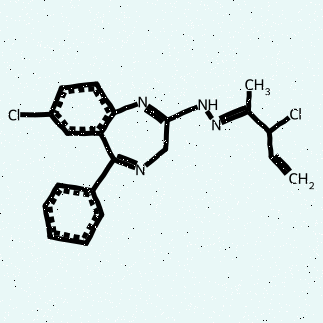 C=CC(Cl)/C(C)=N/NC1=Nc2ccc(Cl)cc2C(c2ccccc2)=NC1